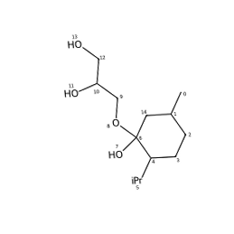 CC1CCC(C(C)C)C(O)(OCC(O)CO)C1